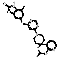 Cc1cc(Oc2cc(N3CCC4(CC3)OC(=O)Nc3ncccc34)ncn2)cc2oc(=O)[nH]c12